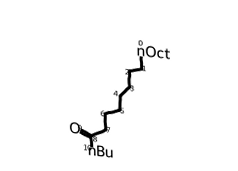 CCCCCCCCCCCCCCCC(=O)CCCC